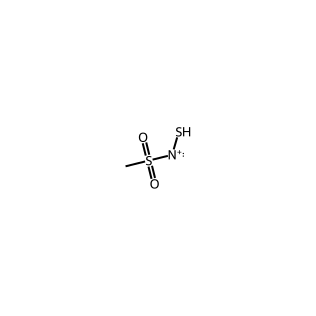 CS(=O)(=O)[N+]S